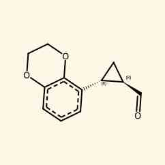 O=C[C@@H]1C[C@H]1c1cccc2c1OCCO2